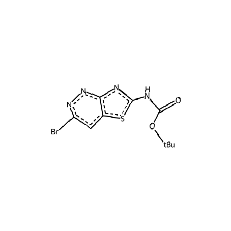 CC(C)(C)OC(=O)Nc1nc2nnc(Br)cc2s1